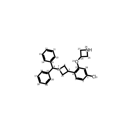 Clc1ccc(C2CN(C(c3ccccc3)c3ccccc3)C2)c(OC2CNC2)c1